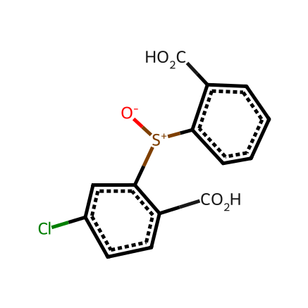 O=C(O)c1ccccc1[S+]([O-])c1cc(Cl)ccc1C(=O)O